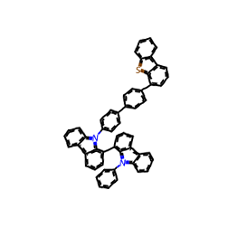 c1ccc(-n2c3ccccc3c3cccc(-c4cccc5c6ccccc6n(-c6ccc(-c7ccc(-c8cccc9c8sc8ccccc89)cc7)cc6)c45)c32)cc1